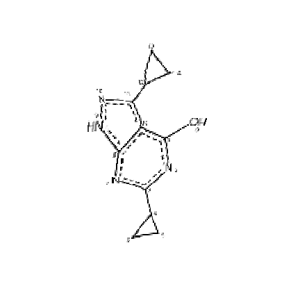 Oc1nc(C2CC2)nc2[nH]nc(C3CC3)c12